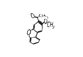 COc1cc2c(cc1C(C)=O)oc1ccccc12